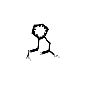 C/N=C/c1ccccc1CC(C)=O